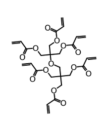 C=CC(=O)OCC(COC(=O)C=C)(COC(=O)C=C)COC(COC(=O)C=C)(COC(=O)C=C)COC(=O)C=C